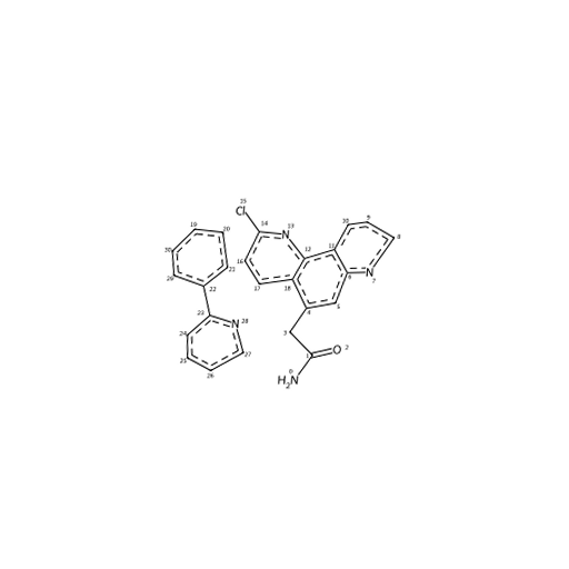 NC(=O)Cc1cc2ncccc2c2nc(Cl)ccc12.c1ccc(-c2ccccn2)cc1